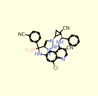 BC(Nc1cc(Cl)c2ncc(C#N)c(N[C@@H](CC#N)c3ccccc3)c2c1)(C1=CN(C2CC2)NN1)c1cccc(C#N)c1